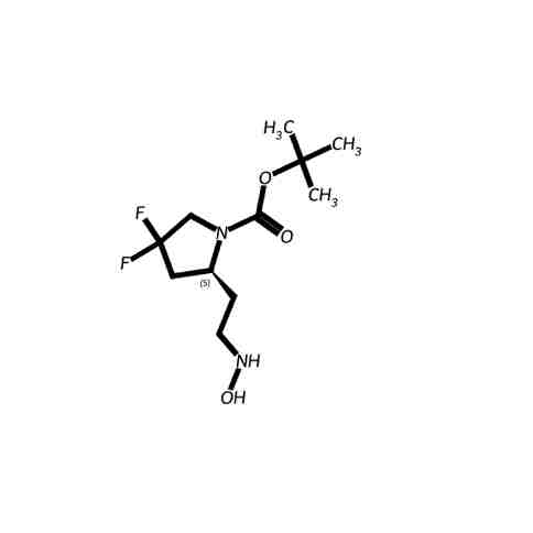 CC(C)(C)OC(=O)N1CC(F)(F)C[C@@H]1CCNO